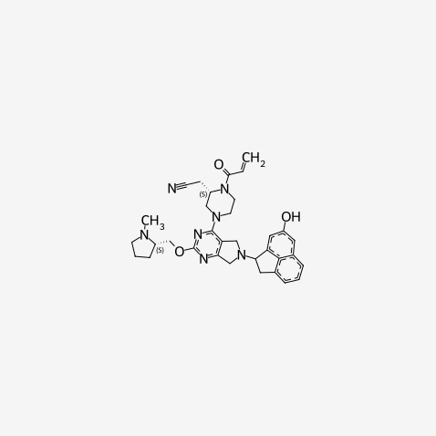 C=CC(=O)N1CCN(c2nc(OC[C@@H]3CCCN3C)nc3c2CN(C2Cc4cccc5cc(O)cc2c45)C3)C[C@@H]1CC#N